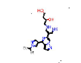 CCC(CC)n1cc(-c2nc(/C(C=N)=C/NCC(O)CCO)cn3nccc23)cn1